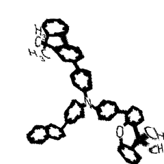 CC1(C)c2ccccc2-c2ccc(-c3ccc(N(c4ccc(-c5ccc6ccccc6c5)cc4)c4ccc(-c5cccc6c5Oc5ccccc5C6(C)C)cc4)cc3)cc21